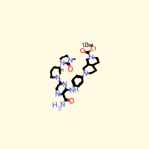 CN1CCN([C@@H]2CCCN(c3cnc(C(N)=O)c(Nc4ccc(N5CCC6CCN(C(=O)OC(C)(C)C)CC6C5)cc4)n3)C2)C1=O